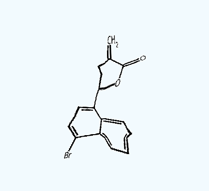 C=C1CC(c2ccc(Br)c3ccccc23)OC1=O